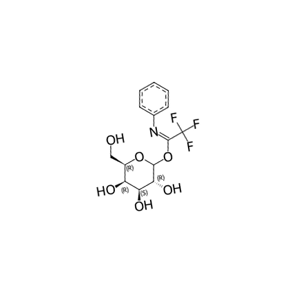 OC[C@H]1OC(OC(=Nc2ccccc2)C(F)(F)F)[C@H](O)[C@@H](O)[C@H]1O